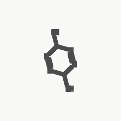 SC1N=NC(S)N=N1